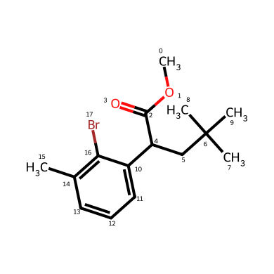 COC(=O)C(CC(C)(C)C)c1cccc(C)c1Br